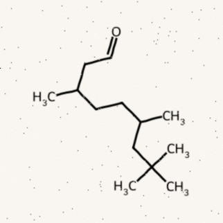 CC(CC=O)CCC(C)CC(C)(C)C